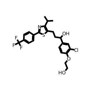 CC(C)c1nc(-c2ccc(C(F)(F)F)cc2)sc1CCC(O)c1ccc(OCCO)c(Cl)c1